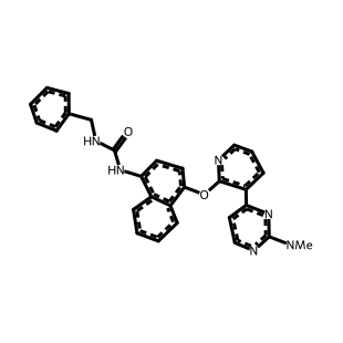 CNc1nccc(-c2cccnc2Oc2ccc(NC(=O)NCc3ccccc3)c3ccccc23)n1